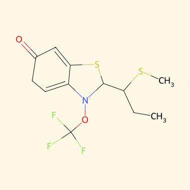 CCC(SC)C1SC2=CC(=O)CC=C2N1OC(F)(F)F